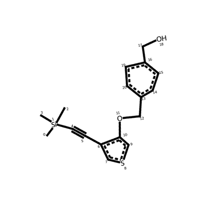 C[Si](C)(C)C#Cc1cscc1OCc1ccc(CO)cc1